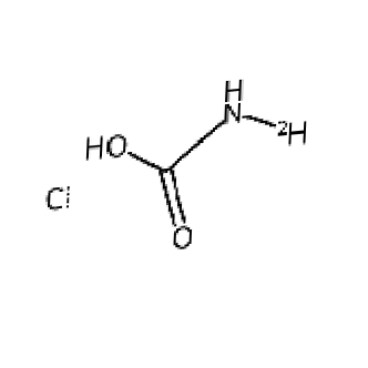 [2H]NC(=O)O.[C]